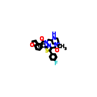 Cc1nc(C(=O)[N+]2(C)CCNC(CNC(=O)c3cccc4occc34)C2)c(-c2ccc(F)cc2)s1